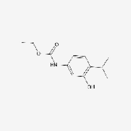 CCOC(=O)Nc1ccc(C(C)C)c(O)c1